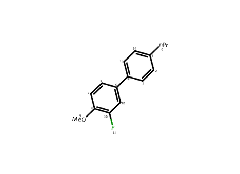 CCCc1ccc(-c2ccc(OC)c(F)c2)cc1